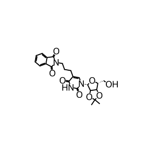 CC1(C)OC2C(O1)[C@@H](CO)O[C@H]2n1cc(CCCN2C(=O)c3ccccc3C2=O)c(=O)[nH]c1=O